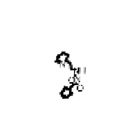 O=C1N=C(NCCc2ccccn2)OC1c1ccccc1